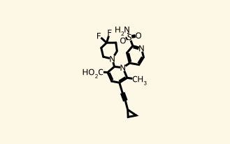 CC1=C(C#CC2CC2)C=C(C(=O)O)C(N2CCC(F)(F)CC2)N1c1ccnc(S(N)(=O)=O)c1